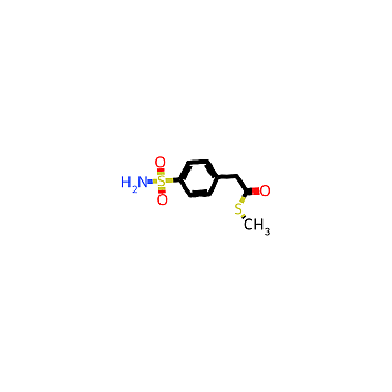 CSC(=O)Cc1ccc(S(N)(=O)=O)cc1